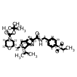 CCS(=O)(=O)c1ccc(CNC(=O)c2nc3c(s2)CN(C[C@H]2CN(C(=O)OC(C)(C)C)CCO2)[C@H]3C(C)C)cc1